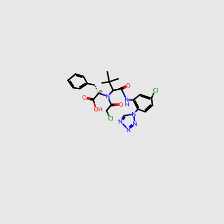 CC(C)(C)C(C(=O)Nc1cc(Cl)ccc1-n1cnnn1)N(C(=O)CCl)[C@@H](Cc1ccccc1)C(=O)O